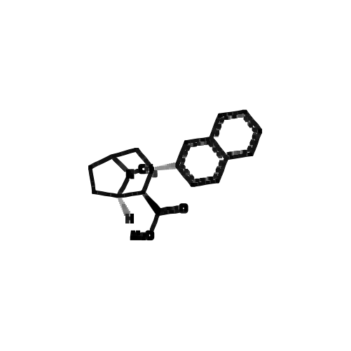 COC(=O)[C@@H]1[C@@H](c2ccc3ccccc3c2)CC2CC[C@H]1N2C